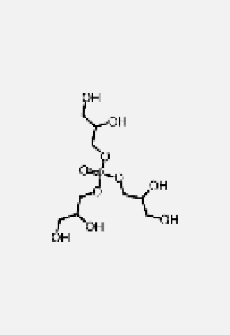 O=P(OCC(O)CO)(OCC(O)CO)OCC(O)CO